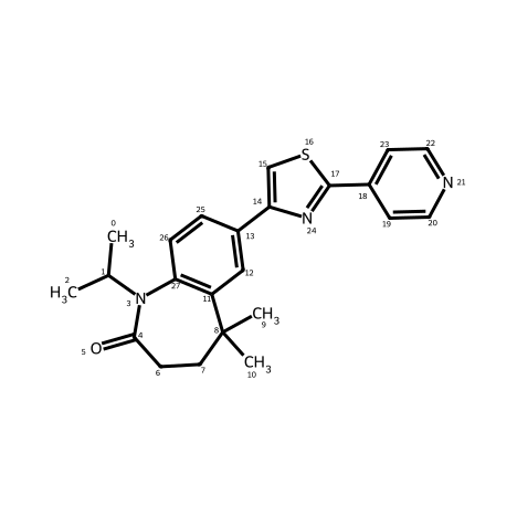 CC(C)N1C(=O)CCC(C)(C)c2cc(-c3csc(-c4ccncc4)n3)ccc21